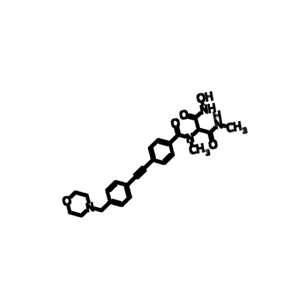 CNC(=O)C(C(=O)NO)N(C)C(=O)c1ccc(C#Cc2ccc(CN3CCOCC3)cc2)cc1